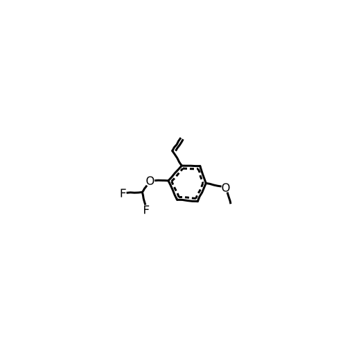 C=Cc1cc(OC)ccc1OC(F)F